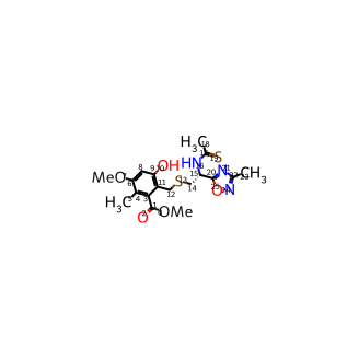 COC(=O)c1c(C)c(OC)cc(O)c1CSC[C@H](NC(C)=S)c1nc(C)no1